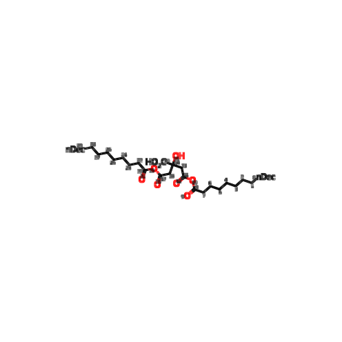 CCCCCCCCCCCCCCCCCC(=O)OC(=O)CC(O)(CC(=O)OC(=O)CCCCCCCCCCCCCCCCC)C(=O)O